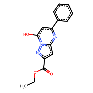 CCOC(=O)c1cc2nc(-c3ccccc3)cc(O)n2n1